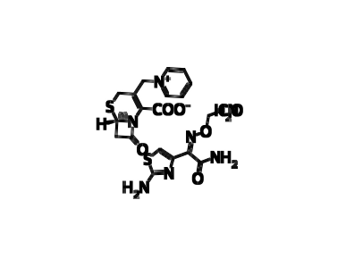 N#CCON=C(C(N)=O)c1csc(N)n1.O.O=C([O-])C1=C(C[n+]2ccccc2)CS[C@H]2CC(=O)N12